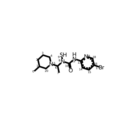 CC1CCCN(C(C)N(S)C(=O)Nc2ccc(Br)cn2)C1